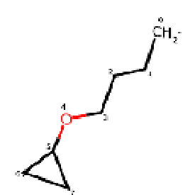 [CH2]CCCOC1[CH]C1